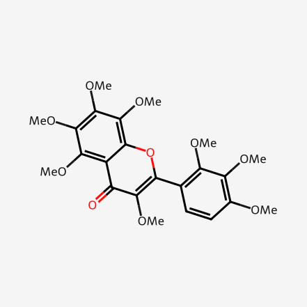 COc1ccc(-c2oc3c(OC)c(OC)c(OC)c(OC)c3c(=O)c2OC)c(OC)c1OC